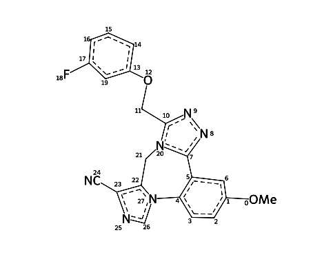 COc1ccc2c(c1)-c1nnc(COc3cccc(F)c3)n1Cc1c(C#N)ncn1-2